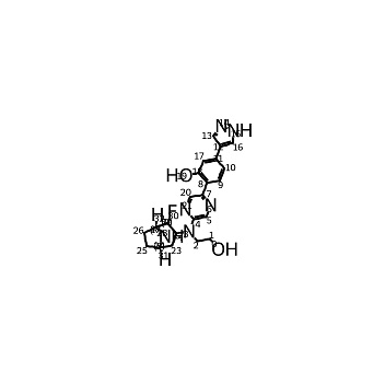 OCCN(c1cnc(-c2ccc(-c3cn[nH]c3)cc2O)cn1)[C@H]1C[C@@H]2CC[C@@H](N2)[C@H]1F